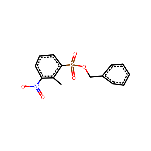 Cc1c([N+](=O)[O-])cccc1S(=O)(=O)OCc1ccccc1